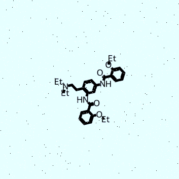 CCOc1ccccc1C(=O)Nc1ccc(CCN(CC)CC)c(NC(=O)c2ccccc2OCC)c1